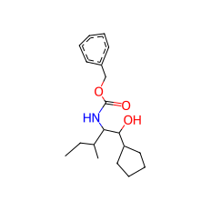 CCC(C)C(NC(=O)OCc1ccccc1)C(O)C1CCCC1